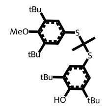 COc1c(C(C)(C)C)cc(SC(C)(C)Sc2cc(C(C)(C)C)c(O)c(C(C)(C)C)c2)cc1C(C)(C)C